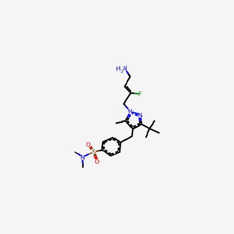 Cc1c(Cc2ccc(S(=O)(=O)N(C)C)cc2)c(C(C)(C)C)nn1C/C(F)=C/CN